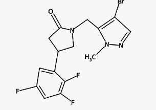 Cn1ncc(Br)c1CN1CC(c2cc(F)cc(F)c2F)CC1=O